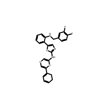 Fc1ccc(CNc2ccccc2-c2cnc(NC3=COC=C(C4=CC=CCC4)O3)o2)cc1F